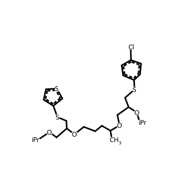 CC(C)OCC(CSc1ccsc1)OCCCC(C)OCC(CSc1ccc(Cl)cc1)OC(C)C